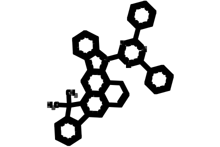 CC1(C)c2ccccc2-c2cc3c4c(c5c(cc4c21)c1ccccc1n5-c1nc(-c2ccccc2)nc(-c2ccccc2)n1)CC=C3